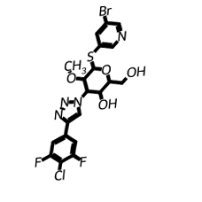 COC1C(Sc2cncc(Br)c2)OC(CO)C(O)C1n1cc(-c2cc(F)c(Cl)c(F)c2)nn1